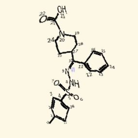 Cc1ccc(S(=O)(=O)N/N=C(\c2ccccc2)C2CCN(C(=O)O)CC2)cc1